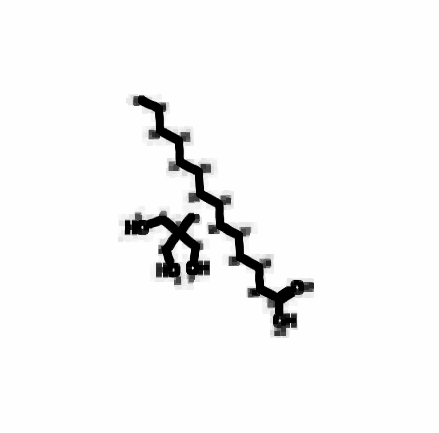 CC(CO)(CO)CO.CCCCCCCCCCCCCC(=O)O